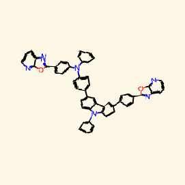 c1ccc(N(c2ccc(-c3ccc4c(c3)c3cc(-c5ccc(-c6nc7cccnc7o6)cc5)ccc3n4-c3ccccc3)cc2)c2ccc(-c3nc4cccnc4o3)cc2)cc1